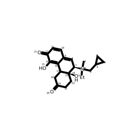 CC[N+](C)(CC1CC1)[C@@H]1C=C2C=CC(=O)C(O)=C2C2CC(=O)CC[C@]21O